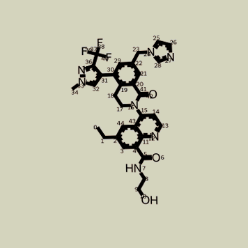 CCc1cc(C(=O)NCCO)c2nccc(N3CCc4c(cc(Cn5ccnc5)cc4-c4cn(C)nc4C(F)(F)F)C3=O)c2c1